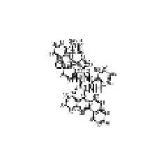 NC(NC(/C=C/c1ccc2c(c1)C1(c3ccccc3O2)c2ccccc2-c2ccccc21)c1c2ccccc2cc2c1ccc1ccccc12)c1ccccc1